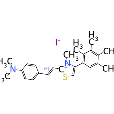 Cc1cc(-c2cs[c+](/C=C/c3ccc(N(C)C)cc3)n2C)c(C)c(C)c1C.[I-]